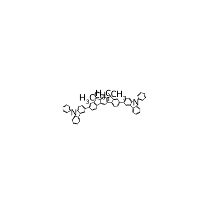 CC1(C)c2cc(-c3ccc4c(c3)c3ccccc3n4-c3ccccc3)ccc2-c2cc3c(cc21)C(C)(C)c1cc(-c2ccc4c(c2)c2ccccc2n4-c2ccccc2)ccc1-3